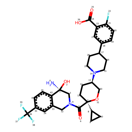 N[C@]1(O)CN(C(=O)[C@@]2(C3CC3)CC[C@@H](N3CCC(c4ccc(F)c(C(=O)O)c4)CC3)CO2)Cc2cc(C(F)(F)F)ccc21